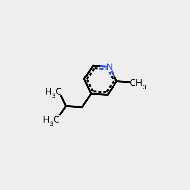 Cc1cc(CC(C)C)ccn1